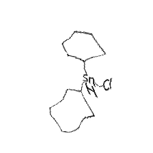 [Cl][SnH]([CH]1CCCCC1)[CH]1CCCCC1